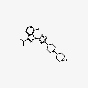 CC(C)c1nn(-c2noc(C3CCN(C4CCNCC4)CC3)n2)c2c(F)cccc12